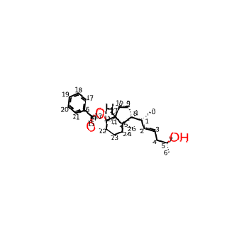 C[C@H](/C=C/C[C@@H](C)O)[C@H]1CC[C@H]2C(OC(=O)c3ccccc3)CCC[C@]12C